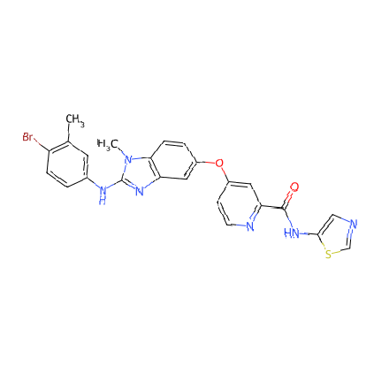 Cc1cc(Nc2nc3cc(Oc4ccnc(C(=O)Nc5cncs5)c4)ccc3n2C)ccc1Br